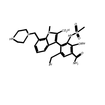 COc1c(C(N)=O)cc(CC(C)C)c(-c2c(C(=O)O)n(C)c3c(CN4CCNCC4)cccc23)c1NS(C)(=O)=O